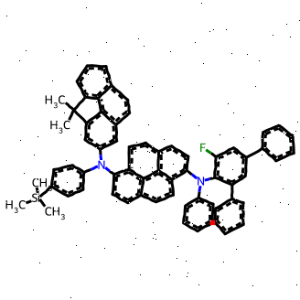 CC1(C)c2cccc3ccc4cc(N(c5ccc([Si](C)(C)C)cc5)c5ccc6ccc7c(N(c8ccccc8)c8c(F)cc(-c9ccccc9)cc8-c8ccccc8)ccc8ccc5c6c87)cc1c4c23